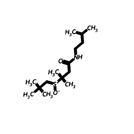 CC(C)CCNC(=O)CC(C)(C)[S+]([O-])CC(C)(C)C